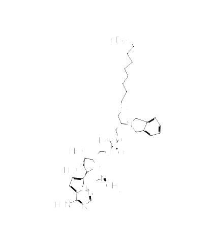 C=NC[C@@]1(c2ccc3c(N)ncnn23)O[C@H](COP(=O)(O)OC[C@@H](COCCCCCCCCCCCCCCCCCC)N2Cc3ccccc3C2)[C@@H](O)[C@H]1O